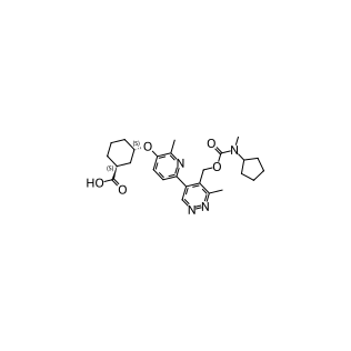 Cc1nc(-c2cnnc(C)c2COC(=O)N(C)C2CCCC2)ccc1O[C@H]1CCC[C@H](C(=O)O)C1